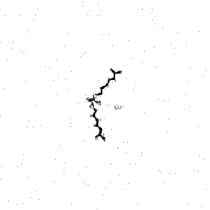 CC(C)CCCCCOP(=S)([S-])OCCCCCC(C)C.[Cu+]